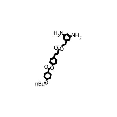 CCCCOC1CCC(C(=O)Oc2ccc(/C=C/C(=O)OCCc3cc(N)cc(N)c3)cc2)CC1